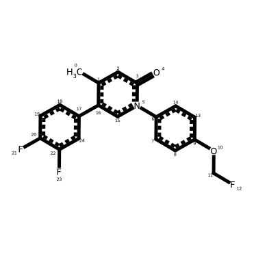 Cc1cc(=O)n(-c2ccc(OCF)cc2)cc1-c1ccc(F)c(F)c1